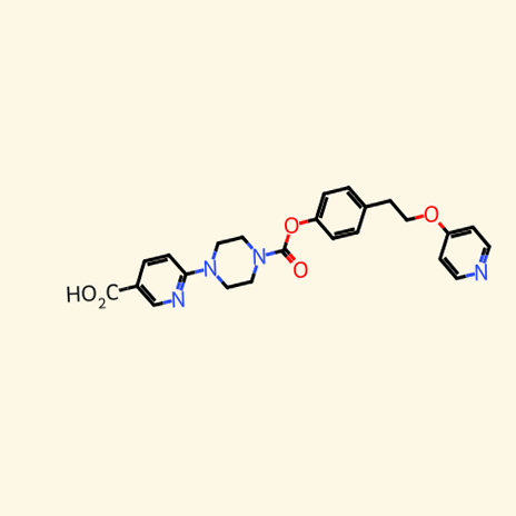 O=C(O)c1ccc(N2CCN(C(=O)Oc3ccc(CCOc4ccncc4)cc3)CC2)nc1